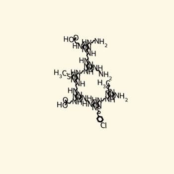 CCSc1nc(N)nc(NCCNc2nc(NCCNc3nc(NCCNc4nc(NCCNc5nc(NCCN)nc(NCCNc6nc(NCCN)nc(NCCC(=O)O)n6)n5)nc(SCC)n4)nc(NCCC(=O)O)n3)nc(SCc3ccc(Cl)cc3)n2)n1